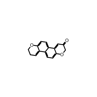 O=C1C=c2c(ccc3c4c(ccc23)OCCC=4)OC1